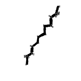 CNN=NCCCCN=NNC